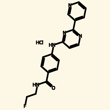 Cl.O=C(NCCF)c1ccc(Nc2ccnc(-c3cccnc3)n2)cc1